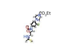 CCOC(=O)N1CCN(c2ccc(N3CC(CNC(C)=S)OC3=O)cc2F)CC1